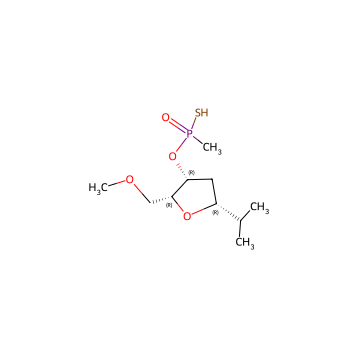 COC[C@H]1O[C@@H](C(C)C)C[C@H]1OP(C)(=O)S